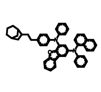 c1ccc(N(c2cc(N(c3ccccc3)c3ccc(CCC4CC5CCCC4C5)cc3)c3oc4ccccc4c3c2)c2cccc3ccccc23)cc1